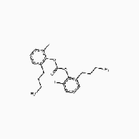 CCCCc1cccc(I)c1OC(=O)Oc1c(I)cccc1CCCC